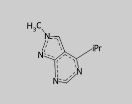 CC(C)c1ncnc2nn(C)cc12